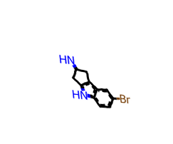 N=C1Cc2[nH]c3ccc(Br)cc3c2C1